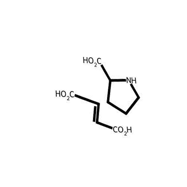 O=C(O)C1CCCN1.O=C(O)C=CC(=O)O